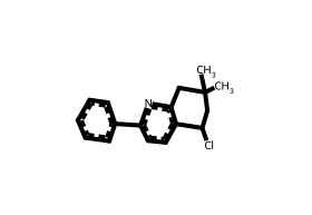 CC1(C)Cc2nc(-c3ccccc3)ccc2C(Cl)C1